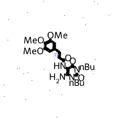 CCCCn1c(N)c(NC(=O)/C=C/c2cc(OC)c(OC)c(OC)c2)c(=O)n(CCCC)c1=O